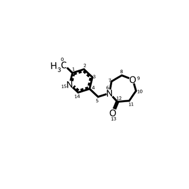 Cc1ccc(CN2CCOCCC2=O)cn1